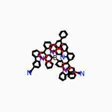 Cc1cc2c3c(c1)N(c1c(-c4cccc(-c5ccccc5)c4)cccc1-c1cccc(-c4ccccc4)c1)c1cc(-n4c5ccccc5c5cc(C#N)ccc54)ccc1B3c1ccc(-n3c4ccccc4c4cc(C#N)ccc43)cc1N2c1c(-c2cccc(-c3ccccc3)c2)cccc1-c1cccc(-c2ccccc2)c1